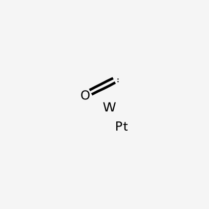 [C]=O.[Pt].[W]